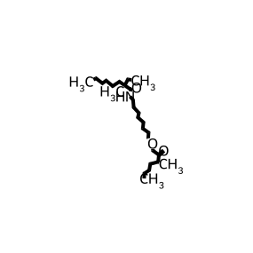 CCCCCCC(C)(CC)C(=O)NCCCCCCCCOCC(=O)C(C)CCCC